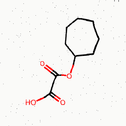 O=C(O)C(=O)OC1CCCCCC1